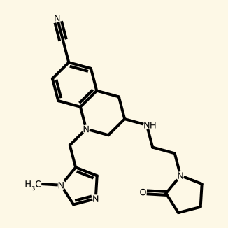 Cn1cncc1CN1CC(NCCN2CCCC2=O)Cc2cc(C#N)ccc21